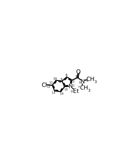 CCn1c(C(=O)N(C)C)cc2cc(Cl)ccc21